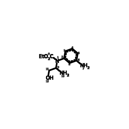 CCOC(=O)N(c1cccc(N)c1)C(N)CO